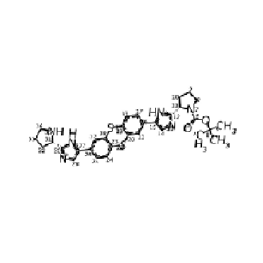 CC(C)(C)OC(=O)N1CCC[C@H]1c1ncc(-c2ccc3c(c2)Sc2ccc(-c4cnc([C@@H]5CCCN5)[nH]4)cc2S3)[nH]1